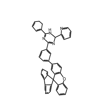 C1=CCCC(C2=NC(c3cccc(-c4ccc5c(c4)C4(c6ccccc6O5)c5ccccc5-c5ccccc54)c3)=NC(c3ccccn3)N2)=C1